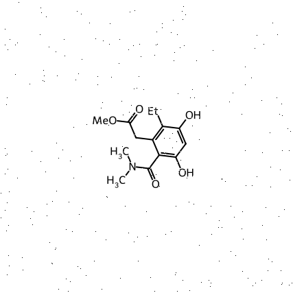 CCc1c(O)cc(O)c(C(=O)N(C)C)c1CC(=O)OC